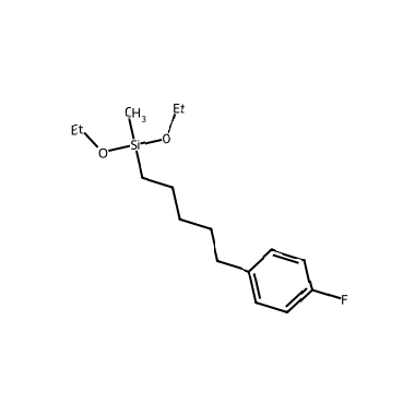 CCO[Si](C)(CCCCCc1ccc(F)cc1)OCC